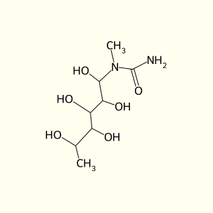 CC(O)C(O)C(O)C(O)C(O)N(C)C(N)=O